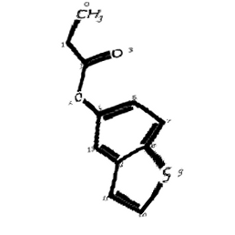 CCC(=O)Oc1ccc2sccc2c1